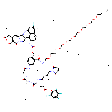 CC[C@@]1(O)C(=O)OCc2c1cc1n(c2=O)Cc2c-1nc1cc(F)c(C)c3c1c2[C@@H](NC(=O)OCc1ccc(NC(=O)[C@H](C)NC(=O)[C@@H](NC(=O)[C@H](CCC(=O)Oc2c(F)c(F)c(F)c(F)c2F)NC(=O)CCCN2C(=O)C=CC2=O)C(C)C)cc1C(=O)NCCOCCOCCOCCOCCOCCOCCOCCOC)CC3